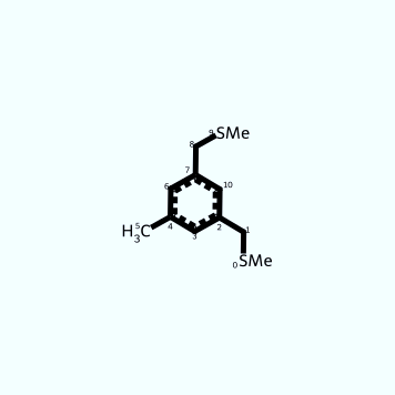 CSCc1cc(C)cc(CSC)c1